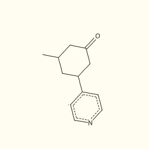 CC1CC(=O)CC(c2[c]cncc2)C1